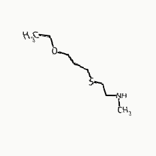 CCOCCCSCCNC